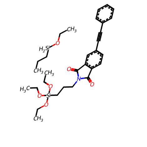 CCC[SiH2]OCC.CCO[Si](CCCN1C(=O)c2ccc(C#Cc3ccccc3)cc2C1=O)(OCC)OCC